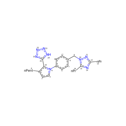 CCCCCc1ccn(-c2ccc(Cn3nc(CCC)nc3CCC)cc2)c1-c1nnn[nH]1